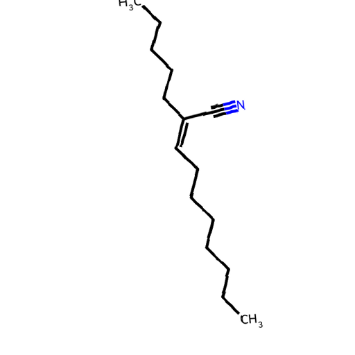 CCCCCCCC=C(C#N)CCCCC